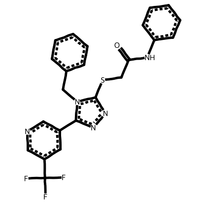 O=C(CSc1nnc(-c2cncc(C(F)(F)F)c2)n1Cc1ccccc1)Nc1ccccc1